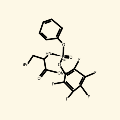 COC(=O)C(CC(C)C)N[P@](=O)(Oc1ccccc1)Oc1c(F)c(F)c(F)c(F)c1F